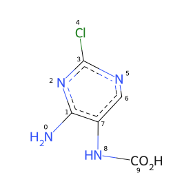 Nc1nc(Cl)ncc1NC(=O)O